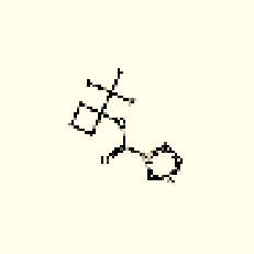 O=C(OC1(C(F)(F)F)CCC1)n1ccnc1